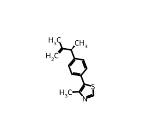 C=C(C)[C@@H](C)c1ccc(-c2scnc2C)cc1